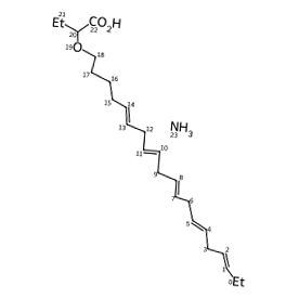 CCC=CCC=CCC=CCC=CCC=CCCCCOC(CC)C(=O)O.N